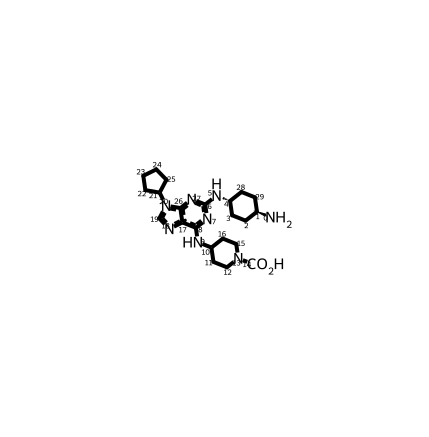 N[C@H]1CC[C@H](Nc2nc(NC3CCN(C(=O)O)CC3)c3ncn(C4CCCC4)c3n2)CC1